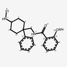 CCNC1CCC(CNC(=O)c2ccccc2OC)(c2ccccc2)CC1